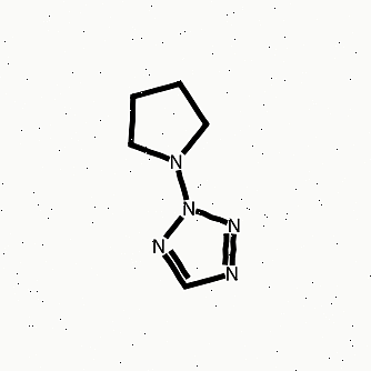 c1nnn(N2CCCC2)n1